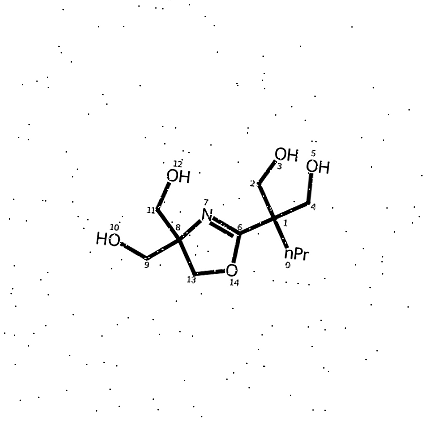 CCCC(CO)(CO)C1=NC(CO)(CO)CO1